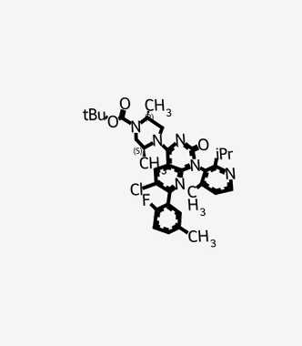 Cc1ccc(F)c(-c2nc3c(cc2Cl)c(N2C[C@@H](C)N(C(=O)OC(C)(C)C)C[C@@H]2C)nc(=O)n3-c2c(C)ccnc2C(C)C)c1